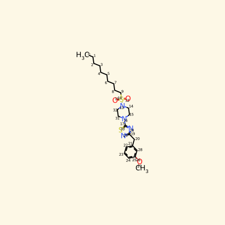 CCCCCCCCCCS(=O)(=O)N1CCN(c2nc(Cc3cccc(OC)c3)ns2)CC1